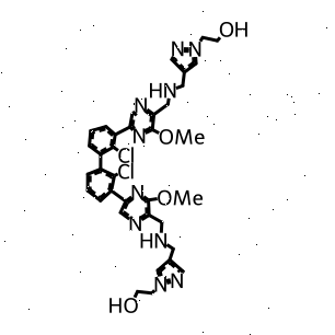 COc1nc(-c2cccc(-c3cccc(-c4cnc(CNCc5cnn(CCO)c5)c(OC)n4)c3Cl)c2Cl)cnc1CNCc1cnn(CCO)c1